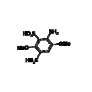 COc1cc(C(=O)O)c(OC)c(S(=O)(=O)O)c1N